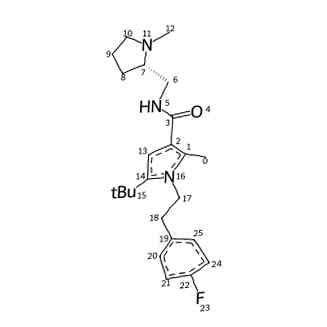 Cc1c(C(=O)NC[C@@H]2CCCN2C)cc(C(C)(C)C)n1CCc1ccc(F)cc1